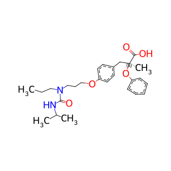 CCCN(CCCOc1ccc(C[C@](C)(Oc2ccccc2)C(=O)O)cc1)C(=O)NC(C)C